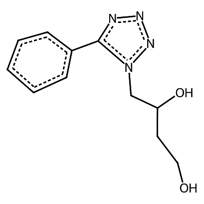 OCCC(O)Cn1nnnc1-c1ccccc1